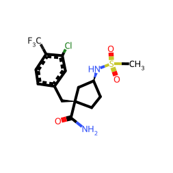 CS(=O)(=O)N[C@H]1CC[C@](Cc2ccc(C(F)(F)F)c(Cl)c2)(C(N)=O)C1